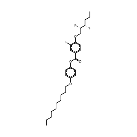 CCCCCCCCCCOc1ccc(OC(=O)c2ccc(OC[C@H](F)[C@@H](F)CCC)c(F)c2)cc1